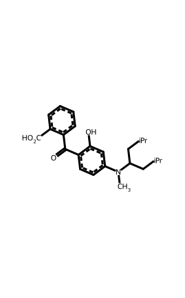 CC(C)CC(CC(C)C)N(C)c1ccc(C(=O)c2ccccc2C(=O)O)c(O)c1